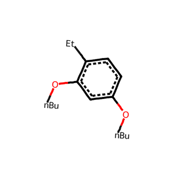 [CH2]Cc1ccc(OCCCC)cc1OCCCC